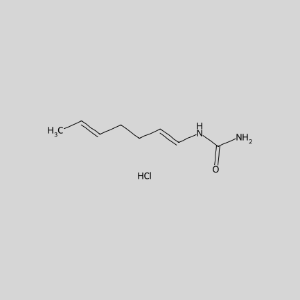 CC=CCCC=CNC(N)=O.Cl